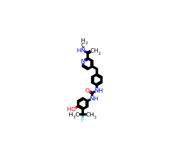 C=C(NC)c1cc(Cc2ccc(NC(=O)Nc3ccc(O)c(C(C)(C)F)c3)cc2)ccn1